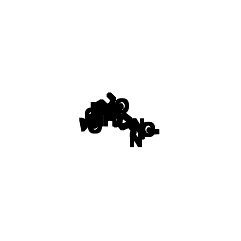 CCOc1cncc(-c2ccc(NC(=O)C(CC)c3ccnc(NS(=O)(=O)C4CC4)n3)c(C)c2)n1